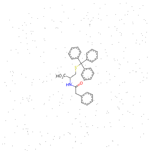 O=C(Cc1ccccc1)NC(CSC(c1ccccc1)(c1ccccc1)c1ccccc1)C(=O)O